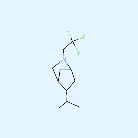 CC(C)C1CC2CC1CN2CC(F)(F)F